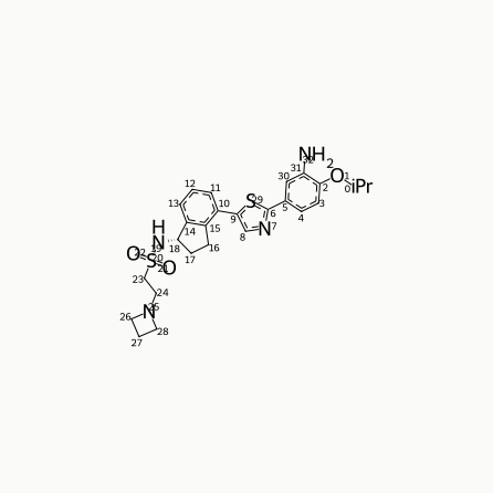 CC(C)Oc1ccc(-c2ncc(-c3cccc4c3CC[C@@H]4NS(=O)(=O)CCN3CCC3)s2)cc1N